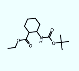 CCOC(=O)C1CCCCC1NC(=O)OC(C)(C)C